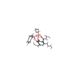 CCCCc1cc(CC)c(OC(=O)c2ccccc2)c(OC(=O)c2ccccc2)c1CCCC